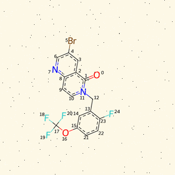 O=c1c2cc(Br)cnc2ccn1Cc1cc(OC(F)(F)F)ccc1F